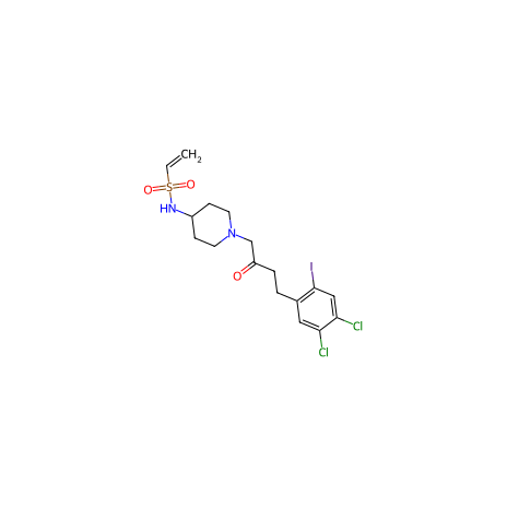 C=CS(=O)(=O)NC1CCN(CC(=O)CCc2cc(Cl)c(Cl)cc2I)CC1